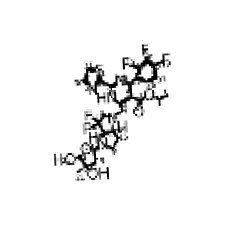 CCOC(=O)C1=C(CN2CC(F)(F)[C@H]3[C@@H]2CCN3CC[C@](C)(O)C(=O)O)NC(c2nccs2)=N[C@H]1c1ccc(F)c(F)c1F